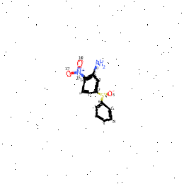 Nc1cc([S+]([O-])c2ccccc2)ccc1[N+](=O)[O-]